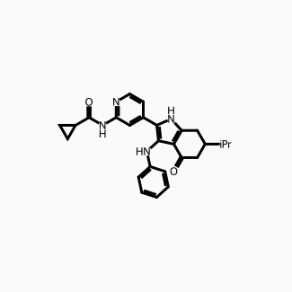 CC(C)C1CC(=O)c2c([nH]c(-c3ccnc(NC(=O)C4CC4)c3)c2Nc2ccccc2)C1